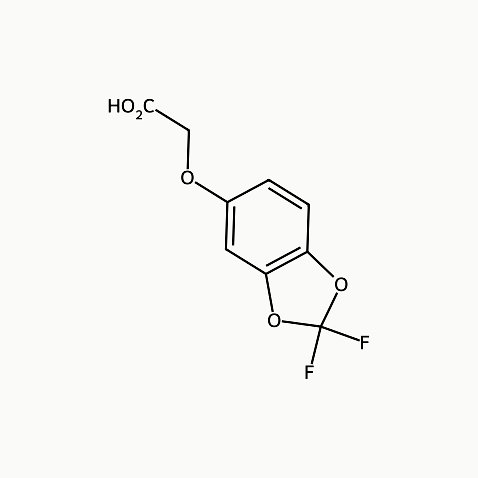 O=C(O)COc1ccc2c(c1)OC(F)(F)O2